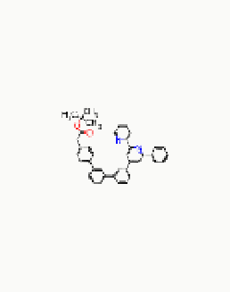 CC(C)(C)OC(=O)Cc1ccc(-c2cccc(-c3cccc(-c4cc(-c5ccccc5)nc(-c5ccccn5)c4)c3)c2)cc1